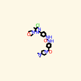 Cc1c(Cl)nc(-c2ccc(NC(=O)Nc3ccc(C(=O)N4CCC(N(C)C)CC4)cc3)cc2)nc1N1CCOCC1